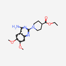 CCOC(=O)C1CCN(c2nc(N)c3cc(OC)c(OC)cc3n2)CC1